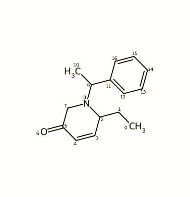 CCC1C=CC(=O)CN1C(C)c1ccccc1